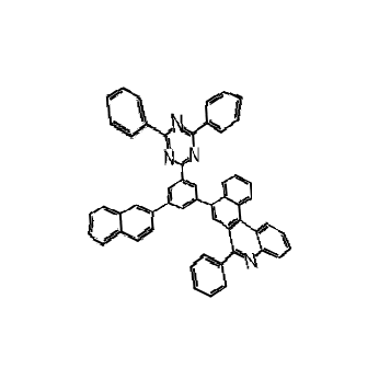 c1ccc(-c2nc(-c3ccccc3)nc(-c3cc(-c4ccc5ccccc5c4)cc(-c4cc5c(-c6ccccc6)nc6ccccc6c5c5ccccc45)c3)n2)cc1